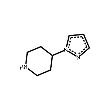 [c]1ccn(C2CCNCC2)n1